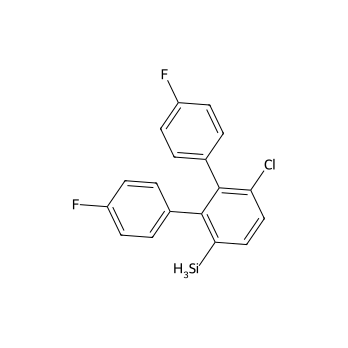 Fc1ccc(-c2c([SiH3])ccc(Cl)c2-c2ccc(F)cc2)cc1